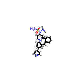 C[C@@H]1c2ccccc2[C@H]2C[C@H](N(N(C)C)S(N)(=O)=O)CCN2c2ccc(-c3ccncc3)cc21